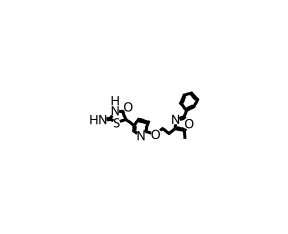 Cc1oc(-c2ccccc2)nc1CCOc1ccc(C2SC(=N)NC2=O)cn1